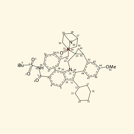 CCC(C)S(=O)(=O)NC(=O)c1ccc2c(C3CCCCC3)c3n(c2c1)CC1(C(=O)N2C4CC2CN(Cc2ccccc2)C4)CC1c1cc(OC)ccc1-3